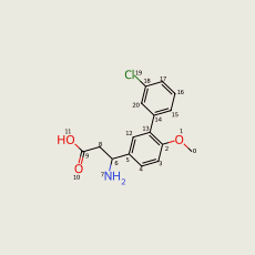 COc1ccc(C(N)CC(=O)O)cc1-c1cccc(Cl)c1